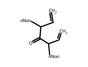 C=CC(CCCCCCCCC)C(=O)C(C=C)CCCCCCCCC